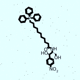 O=C(CCCCCCCCCC[PH](c1ccccc1)(c1ccccc1)c1ccccc1)N[C@H](CO)[C@H](O)c1ccc([N+](=O)[O-])cc1